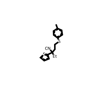 [C-]#[N+]C(CC)(CCSc1ccc(C)cc1)c1cccs1